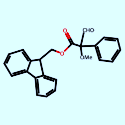 COC([C]=O)(C(=O)OCC1c2ccccc2-c2ccccc21)c1ccccc1